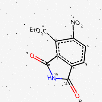 CCOC(=O)c1c([N+](=O)[O-])ccc2c1C(=O)NC2=O